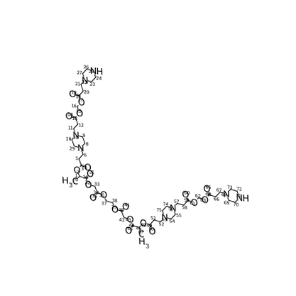 CC(OC(=O)CCN1CCN(CCC(=O)OCOC(=O)CCN2CCNCC2)CC1)C(=O)OCC(=O)OCCOC(=O)COC(=O)C(C)OC(=O)CCN1CCN(CCC(=O)OCOC(=O)CCN2CCNCC2)CC1